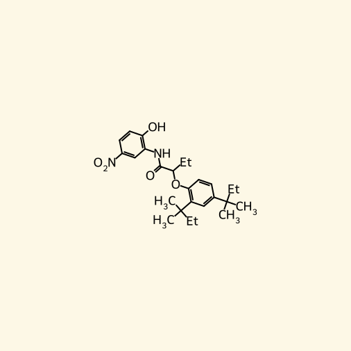 CCC(Oc1ccc(C(C)(C)CC)cc1C(C)(C)CC)C(=O)Nc1cc([N+](=O)[O-])ccc1O